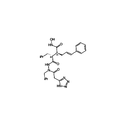 CC(C)C[C@@H](C(=O)NN(CC(C)C)C(=O)Cc1nnn[nH]1)[C@H](CC=Cc1ccccc1)C(=O)NO